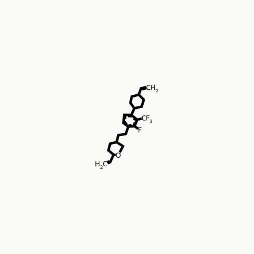 C=CC1CCC(c2ccc(CCC3CCC(C=C)OC3)c(F)c2C(F)(F)F)CC1